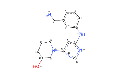 NCc1cccc(Nc2cc(N3CCCC(O)C3)ncn2)c1